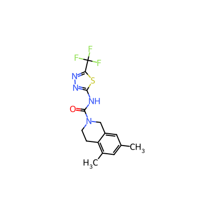 Cc1cc(C)c2c(c1)CN(C(=O)Nc1nnc(C(F)(F)F)s1)CC2